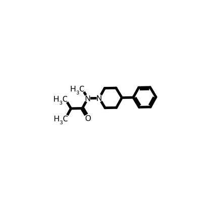 CC(C)C(=O)N(C)N1CCC(c2ccccc2)CC1